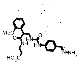 COc1ccccc1C(CNC(=O)Nc1ccc(C=NN)cc1)C(=O)NCCC(=O)O